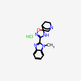 Cl.Cn1c(C2=NOC3(CN4CCC3CC4)N2)nc2ccccc21